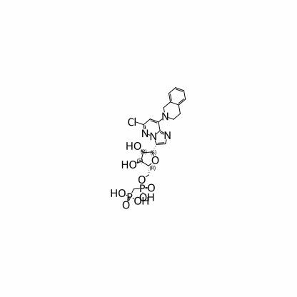 O=P(O)(O)CP(=O)(O)OC[C@H]1O[C@@H](c2cnc3c(N4CCc5ccccc5C4)cc(Cl)nn23)[C@H](O)[C@@H]1O